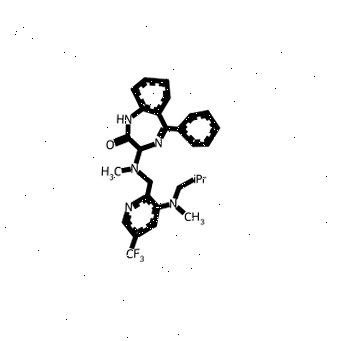 CC(C)CN(C)c1cc(C(F)(F)F)cnc1CN(C)C1N=C(c2ccccc2)c2ccccc2NC1=O